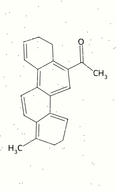 CC(=O)c1cc2c3c(ccc2c2c1CCC=C2)=C(C)CCC=3